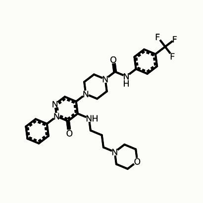 O=C(Nc1ccc(C(F)(F)F)cc1)N1CCN(c2cnn(-c3ccccc3)c(=O)c2NCCCN2CCOCC2)CC1